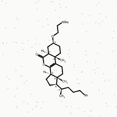 CNCCO[C@H]1CC[C@]2(C)C3=C(OC(=O)[C@H]2C1)[C@@H]1CC[C@H]([C@H](C)CCCC(C)C)[C@@]1(C)CC3